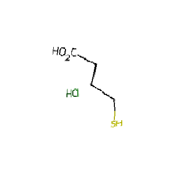 Cl.O=C(O)CCCS